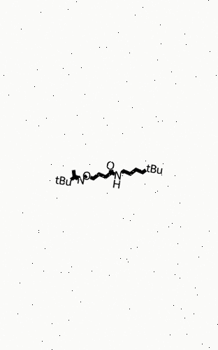 C/C(=N\OCCCC(=O)NCCCCC(C)(C)C)C(C)(C)C